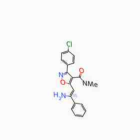 CNC(=O)c1c(-c2ccc(Cl)cc2)noc1/C=C(\N)c1ccccc1